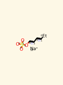 CC/C=C/C=C/OS(=O)(=O)[O-].[Na+]